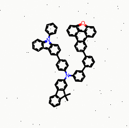 CC1(C)c2ccccc2-c2ccc(N(c3ccc(-c4ccc5c(c4)c4ccccc4n5-c4ccccc4)cc3)c3cccc(-c4cccc(-c5ccc6c(c5)c5cccc7oc8cccc6c8c75)c4)c3)cc21